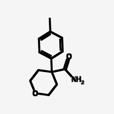 Cc1ccc(C2(C(N)=O)CCOCC2)cc1